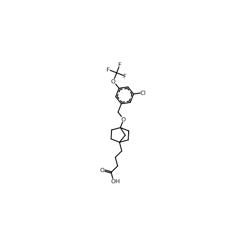 O=C(O)CCCC12CCC(OCc3cc(Cl)cc(OC(F)(F)F)c3)(CC1)C2